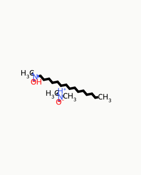 CCCCCCCCCCCCCCCN(C)O.C[NH+](C)[O-]